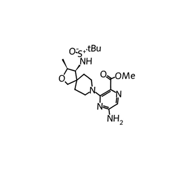 COC(=O)c1ncc(N)nc1N1CCC2(CC1)CO[C@@H](C)[C@H]2N[S@+]([O-])C(C)(C)C